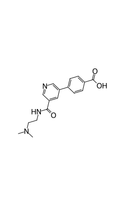 CN(C)CCNC(=O)c1cncc(-c2ccc(C(=O)O)cc2)c1